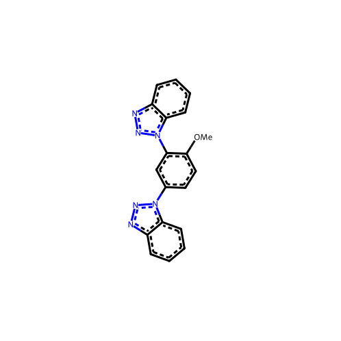 COc1ccc(-n2nnc3ccccc32)cc1-n1nnc2ccccc21